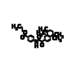 C=CCOC(=O)c1ccc(NC(=O)C(=O)c2ccc3c(c2)C(C)(C)CCC3(C)C)cc1